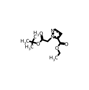 CCOC(=O)c1ccnn1CC(=O)OC(C)(C)C